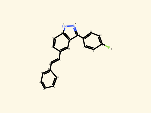 Fc1ccc(-c2n[nH]c3ccc(/C=C/c4ccccc4)cc23)cc1